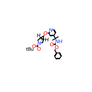 CC(C)(C)OC(=O)N1C[C@@H]2C(Oc3cc(C(C)(C)NC(=O)OCc4ccccc4)ccn3)[C@@H]2C1